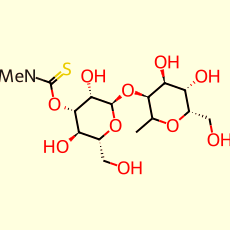 CNC(=S)O[C@@H]1[C@H](O)[C@@H](O[C@@H]2C(C)O[C@@H](CO)[C@@H](O)[C@@H]2O)O[C@H](CO)[C@H]1O